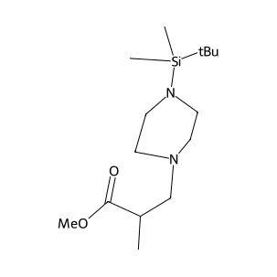 COC(=O)C(C)CN1CCN([Si](C)(C)C(C)(C)C)CC1